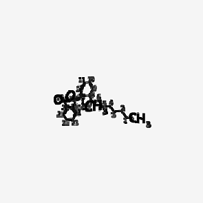 CCCCCCCCC1C=CC=CC1(CC)C1OC(=O)c2ccccc21